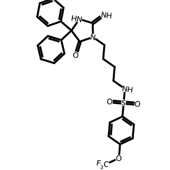 N=C1NC(c2ccccc2)(c2ccccc2)C(=O)N1CCCCNS(=O)(=O)c1ccc(OC(F)(F)F)cc1